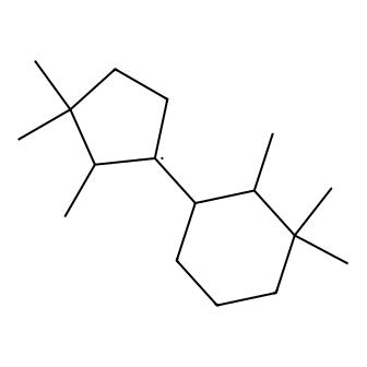 CC1[C](C2CCCC(C)(C)C2C)CCC1(C)C